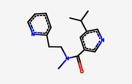 CC(C)c1cncc(C(=O)N(C)CCc2ccccn2)c1